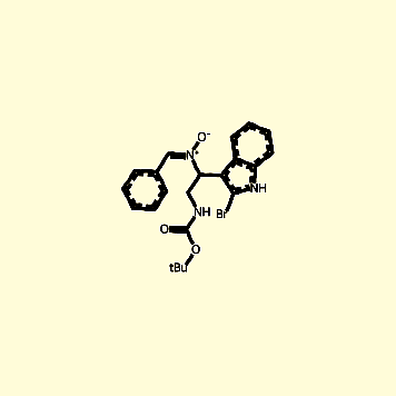 CC(C)(C)OC(=O)NCC(c1c(Br)[nH]c2ccccc12)/[N+]([O-])=C\c1ccccc1